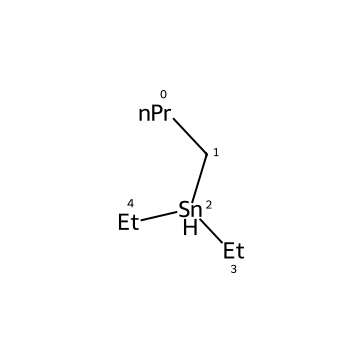 CCC[CH2][SnH]([CH2]C)[CH2]C